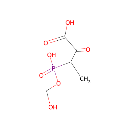 CC(C(=O)C(=O)O)P(=O)(O)OCO